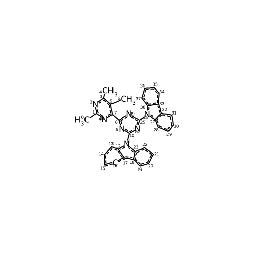 Cc1nc(C)c(C)c(-c2nc(-n3c4ccccc4c4ccccc43)nc(-n3c4ccccc4c4ccccc43)n2)n1